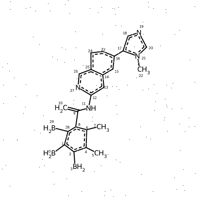 Bc1c(B)c(C)c(C)c(C(=C)Nc2cc3cc(-c4cncn4C)ccc3cn2)c1B